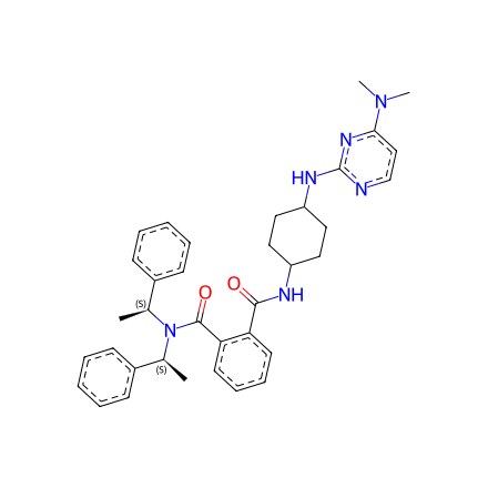 C[C@@H](c1ccccc1)N(C(=O)c1ccccc1C(=O)NC1CCC(Nc2nccc(N(C)C)n2)CC1)[C@@H](C)c1ccccc1